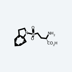 N[C@@H](CCS(=O)(=O)N1CCc2ccccc21)C(=O)O